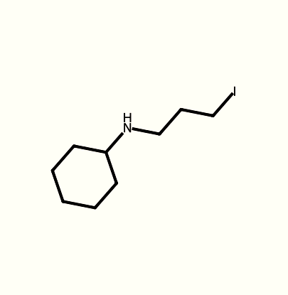 ICCCNC1CCCCC1